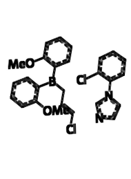 COc1ccccc1B(CC=CCl)c1ccccc1OC.Clc1ccccc1-n1ccnc1